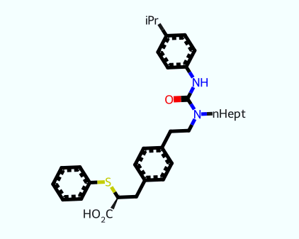 CCCCCCCN(CCc1ccc(C[C@H](Sc2ccccc2)C(=O)O)cc1)C(=O)Nc1ccc(C(C)C)cc1